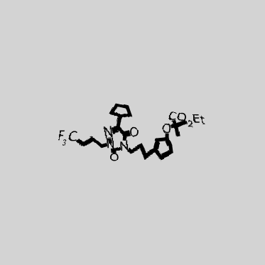 CCOC(=O)C(C)(C)Oc1cccc(CCCn2c(=O)c(C3CCCC3)nn(CCCC(F)(F)F)c2=O)c1